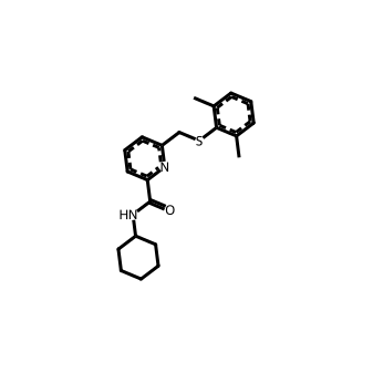 Cc1cccc(C)c1SCc1cccc(C(=O)NC2CCCCC2)n1